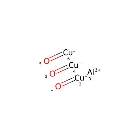 [Al+3].[O]=[Cu-].[O]=[Cu-].[O]=[Cu-]